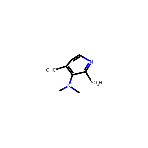 CN(C)c1c(C=O)ccnc1S(=O)(=O)O